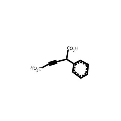 O=C(O)C#CC(C(=O)O)c1ccccc1